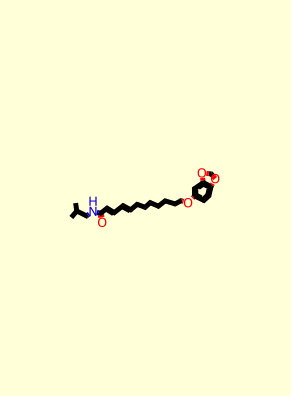 CC(C)CNC(=O)C=CC=CCCCCCCCOc1ccc2c(c1)OCO2